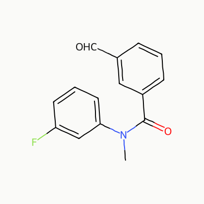 CN(C(=O)c1cccc(C=O)c1)c1cccc(F)c1